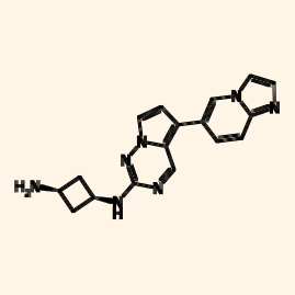 N[C@H]1C[C@@H](Nc2ncc3c(-c4ccc5nccn5c4)ccn3n2)C1